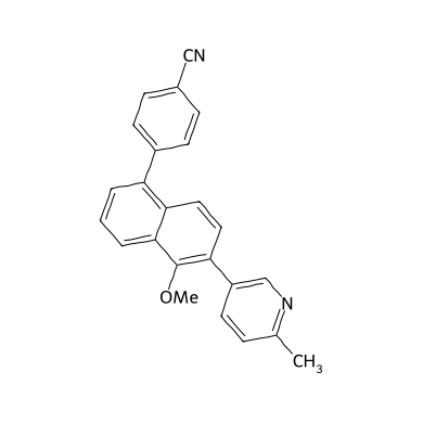 COc1c(-c2ccc(C)nc2)ccc2c(-c3ccc(C#N)cc3)cccc12